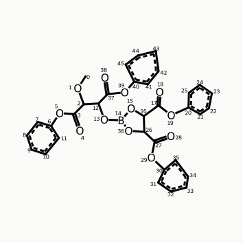 COC(C(=O)Oc1ccccc1)C(OB1OC(C(=O)Oc2ccccc2)C(C(=O)Oc2ccccc2)O1)C(=O)Oc1ccccc1